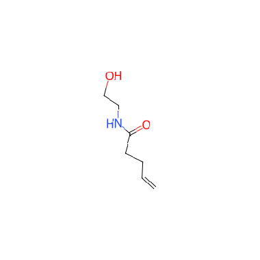 C=CCCC(=O)NCCO